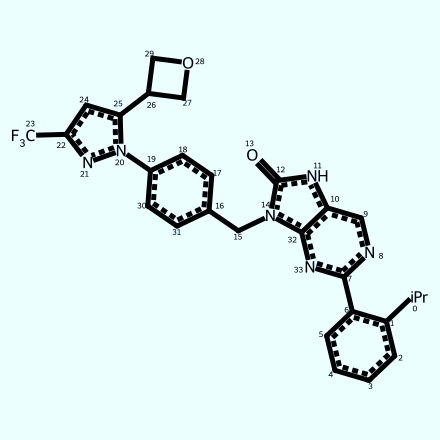 CC(C)c1ccccc1-c1ncc2[nH]c(=O)n(Cc3ccc(-n4nc(C(F)(F)F)cc4C4COC4)cc3)c2n1